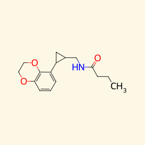 CCCC(=O)NCC1CC1c1cccc2c1OCCO2